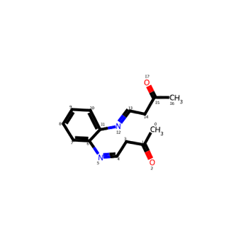 CC(=O)C/C=N\c1ccccc1/N=C/CC(C)=O